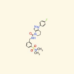 CN(C)S(=O)(=O)c1cccc(CNC(=O)N2CCCc3c2cnn3-c2ccc(F)cc2)c1